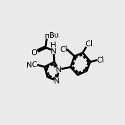 CCCCC(=O)Nc1c(C#N)cnn1-c1ccc(Cl)c(Cl)c1Cl